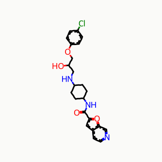 O=C(NC1CCC(NCC(O)COc2ccc(Cl)cc2)CC1)c1cc2ccncc2o1